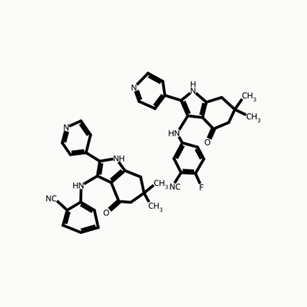 CC1(C)CC(=O)c2c([nH]c(-c3ccncc3)c2Nc2ccc(F)c(C#N)c2)C1.CC1(C)CC(=O)c2c([nH]c(-c3ccncc3)c2Nc2ccccc2C#N)C1